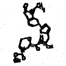 CN1C(=O)Cc2ccc(-c3ccc(C[C@@H](C#N)NC(=O)[C@@H]4CN(C(=O)OC(C)(C)C)CCCO4)s3)cc21